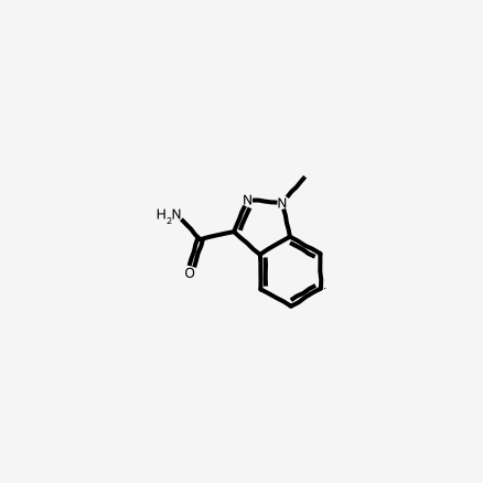 Cn1nc(C(N)=O)c2cc[c]cc21